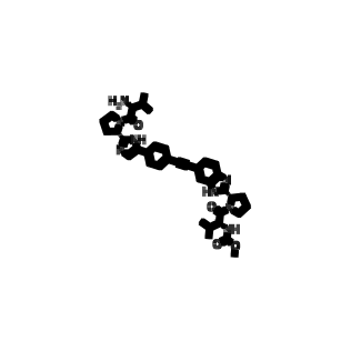 COC(=O)N[C@H](C(=O)N1CCC[C@H]1c1nc2ccc(C#Cc3ccc(-c4cnc([C@@H]5CCCN5C(=O)[C@@H](N)C(C)C)[nH]4)cc3)cc2[nH]1)C(C)C